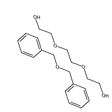 OCCOCCOCCO.c1ccc(COCc2ccccc2)cc1